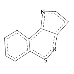 c1ccc2c3nccc-3nsc2c1